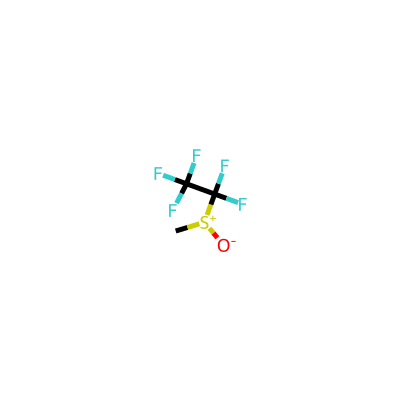 C[S+]([O-])C(F)(F)C(F)(F)F